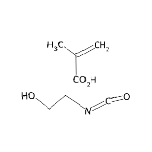 C=C(C)C(=O)O.O=C=NCCO